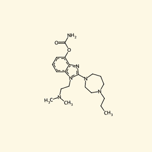 CCCN1CCCN(c2nc3c(OC(N)=O)cccc3n2CCN(C)C)CC1